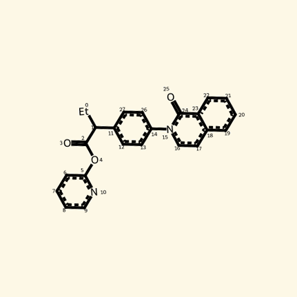 CCC(C(=O)Oc1ccccn1)c1ccc(-n2ccc3ccccc3c2=O)cc1